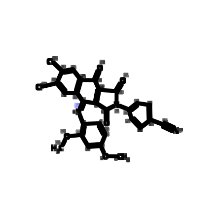 COc1ccc(/N=c2\c3c(=O)n(-c4ccc(C#N)cc4)c(=O)c=3c(=O)c3cc(Cl)c(Cl)cc23)c(OC)c1